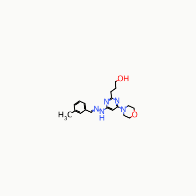 Cc1cccc(/C=N/Nc2cc(N3CCOCC3)nc(CCCO)n2)c1